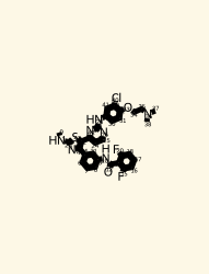 CNc1nc(-c2cccc(NC(=O)c3c(F)cccc3F)c2)c(-c2ccnc(Nc3ccc(OCCN(C)C)c(Cl)c3)n2)s1